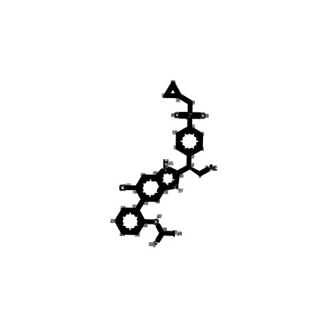 CC(=O)C[C@H](c1ccc(S(=O)(=O)CC2CC2)cc1)c1nc2cc(-c3ccccc3OC(F)F)c(Cl)cc2[nH]1